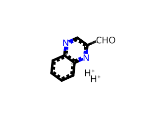 O=Cc1cnc2ccccc2n1.[H+].[H+]